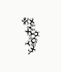 CN(C)CC(C)(C)CNC(=O)[C@H](CC(F)F)NC(=O)[C@@H]1CCCN1C(=O)[C@@H](NC(=O)N[C@H](CN(C)S(C)(=O)=O)C(C)(C)C)C(C)(C)C